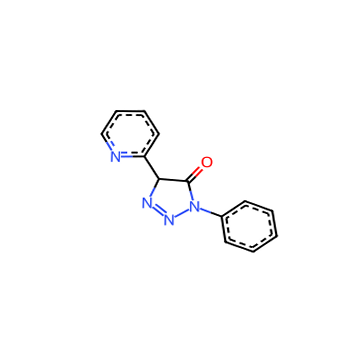 O=C1C(c2ccccn2)N=NN1c1ccccc1